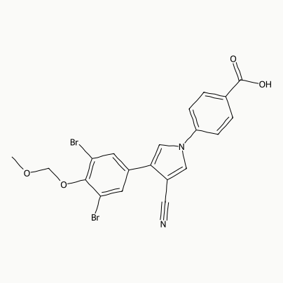 COCOc1c(Br)cc(-c2cn(-c3ccc(C(=O)O)cc3)cc2C#N)cc1Br